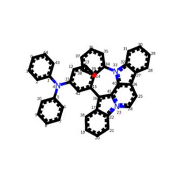 c1ccc(N(c2ccccc2)c2cccc(-c3c4ccccc4n4ccc5c6ccccc6n(-c6ccccc6)c5c34)c2)cc1